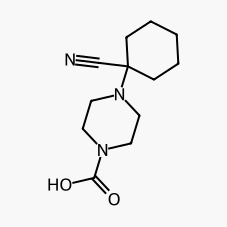 N#CC1(N2CCN(C(=O)O)CC2)CCCCC1